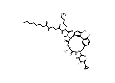 CCCCCCCC(=O)NCCC(=O)N[C@@H](CCCCN)C(=O)N(C)[C@@H]1C(=O)N[C@@H](N)C(=O)N[C@H](C(=O)N[C@@H](C)C(=O)C2CO2)Cc2ccc(O)c(c2)-c2cc1ccc2O